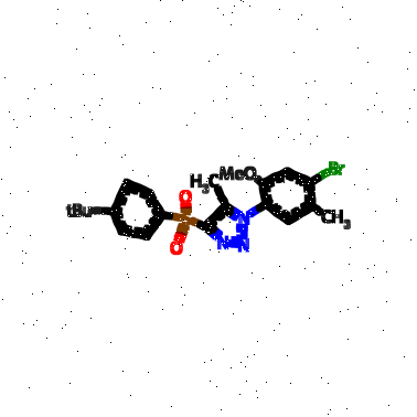 COc1cc(Br)c(C)cc1-n1nnc(S(=O)(=O)c2ccc(C(C)(C)C)cc2)c1C